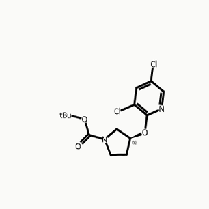 CC(C)(C)OC(=O)N1CC[C@H](Oc2ncc(Cl)cc2Cl)C1